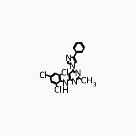 Cc1nc(Nc2c(Cl)cc(Cl)cc2Cl)cc(-n2cnc(-c3ccccc3)c2)n1